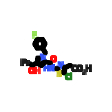 CC(C)C(O)c1cc(C(=O)Nc2nc(CC(=O)O)c(Cl)s2)n(Cc2ccc(F)cc2)c1